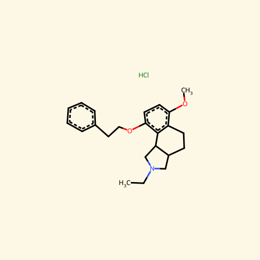 CCN1CC2CCc3c(OC)ccc(OCCc4ccccc4)c3C2C1.Cl